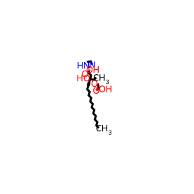 C1=NCCN1.CCCCCCCCCCCCCCC#CC(O)(CC(=O)O)C(C)OCC(=O)O